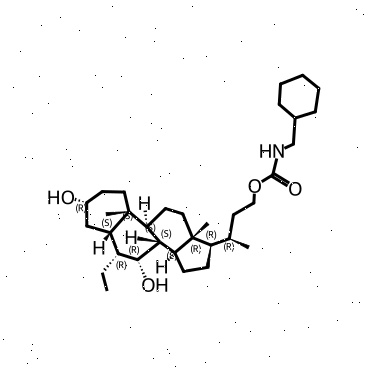 CC[C@H]1[C@@H](O)[C@@H]2[C@H](CC[C@]3(C)[C@@H]([C@H](C)CCOC(=O)NCC4CCCCC4)CC[C@@H]23)[C@@]2(C)CC[C@@H](O)C[C@@H]12